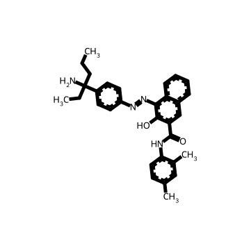 CCCC(N)(CC)c1ccc(N=Nc2c(O)c(C(=O)Nc3ccc(C)cc3C)cc3ccccc23)cc1